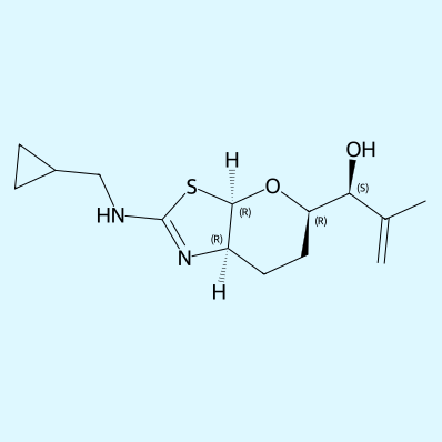 C=C(C)[C@H](O)[C@H]1CC[C@H]2N=C(NCC3CC3)S[C@H]2O1